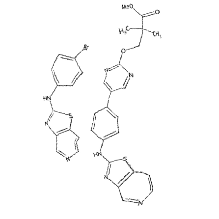 Brc1ccc(Nc2nc3cnccc3s2)cc1.COC(=O)C(C)(C)COc1ncc(-c2ccc(Nc3nc4cnccc4s3)cc2)cn1